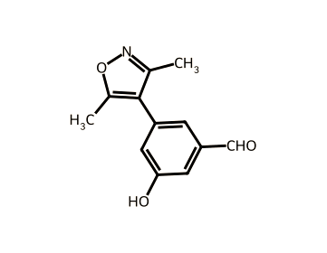 Cc1noc(C)c1-c1cc(O)cc(C=O)c1